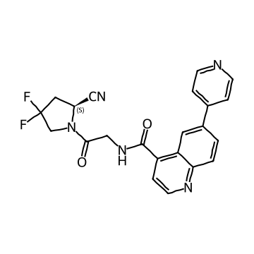 N#C[C@@H]1CC(F)(F)CN1C(=O)CNC(=O)c1ccnc2ccc(-c3ccncc3)cc12